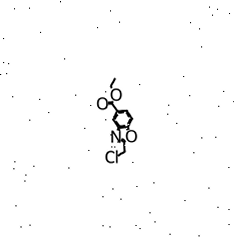 CCOC(=O)c1ccc2oc(CCl)nc2c1